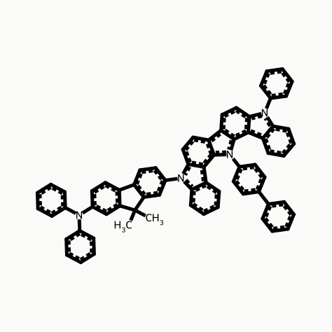 CC1(C)c2cc(N(c3ccccc3)c3ccccc3)ccc2-c2ccc(-n3c4ccccc4c4c3ccc3c5ccc6c(c7ccccc7n6-c6ccccc6)c5n(-c5ccc(-c6ccccc6)cc5)c34)cc21